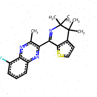 Cc1nc2c(F)cccc2nc1C1=NC(C)(C)C(C)(C)c2ccsc21